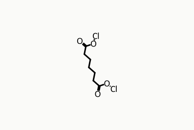 O=C(CCCCCC(=O)OCl)OCl